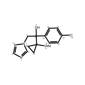 CSC1(C(O)(Cn2cncn2)c2ccc(Cl)cc2)CC1